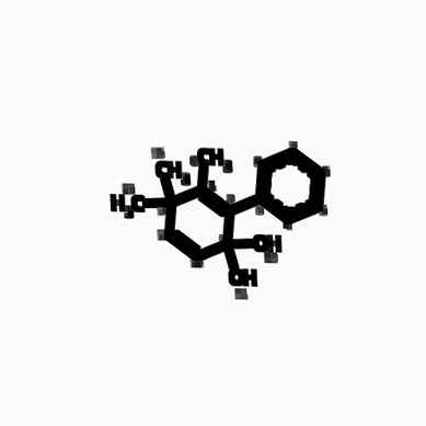 CC1=C(c2ccccc2)C(O)(O)[C]=CC1(C)C